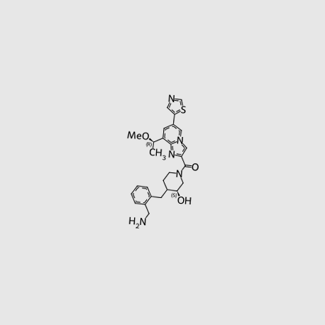 CO[C@H](C)c1cc(-c2cncs2)cn2cc(C(=O)N3CCC(Cc4ccccc4CN)[C@H](O)C3)nc12